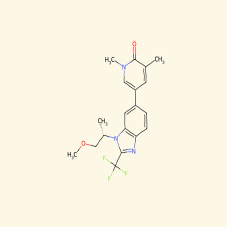 COC[C@H](C)n1c(C(F)(F)F)nc2ccc(-c3cc(C)c(=O)n(C)c3)cc21